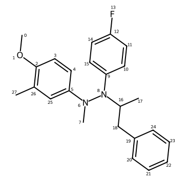 COc1ccc(N(C)N(c2ccc(F)cc2)C(C)Cc2ccccc2)cc1C